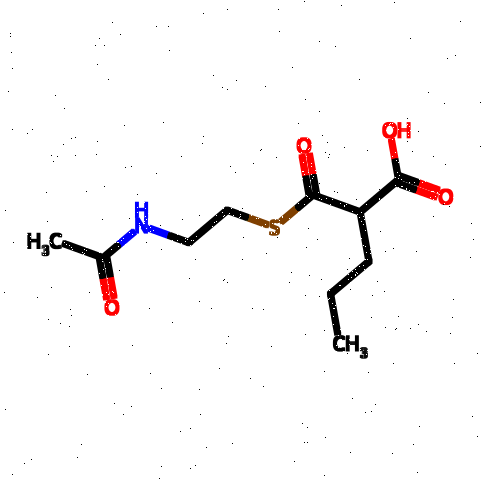 CCCC(C(=O)O)C(=O)SCCNC(C)=O